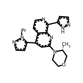 CC(C)n1nccc1-c1cc(N2CCOC[C@H]2C)nc2c(-c3ccn[nH]3)nccc12